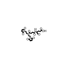 O=CC(CCC(=O)O)NC(=O)CCC(=O)N(CCN1C(=O)C=CC1=O)CCN1C(=O)C=CC1=O